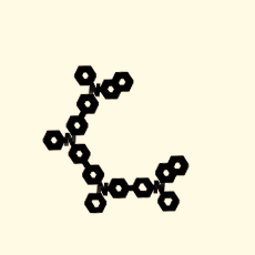 C1=CCCC(N(C2=CCC(c3ccc(N(C4=CC=CCC4)c4ccc(-c5ccc(N(c6ccccc6)c6ccc(-c7ccc(N(c8ccccc8)c8ccc9ccccc9c8)cc7)cc6)cc5)cc4)cc3)C=C2)c2ccc3ccccc3c2)=C1